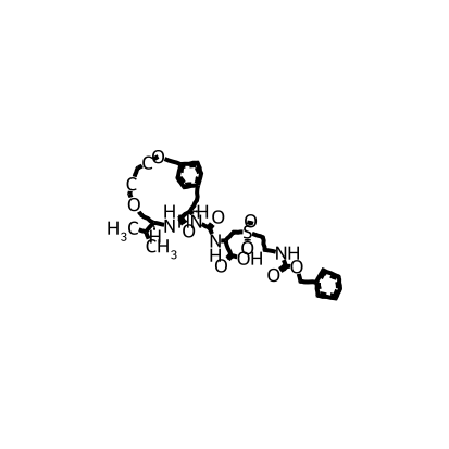 CC(C)[C@H]1COCCCCOc2ccc(cc2)C[C@@H](NC(=O)NC(CS(=O)(=O)CCNC(=O)OCc2ccccc2)C(=O)O)C(=O)N1